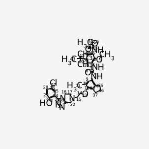 COc1c(NC(=O)Nc2cc(C)c(OCCN3CCn4c(nnc4-c4cc(Cl)ccc4O)C3)c3c2CCC3)cc(C(C)(C)C)cc1NS(C)(=O)=O